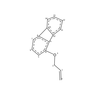 C=CCOc1cccc2c1-c1ccccc1-2